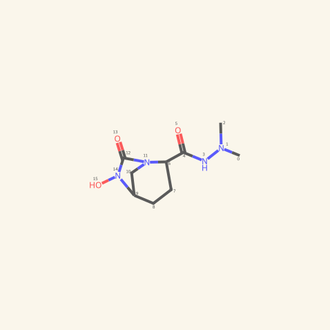 CN(C)NC(=O)C1CCC2CN1C(=O)N2O